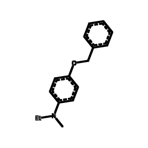 CCN(C)c1ccc(OCc2ccccc2)cc1